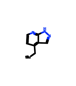 CC(C)(C)Cc1ccnc2[nH]ncc12